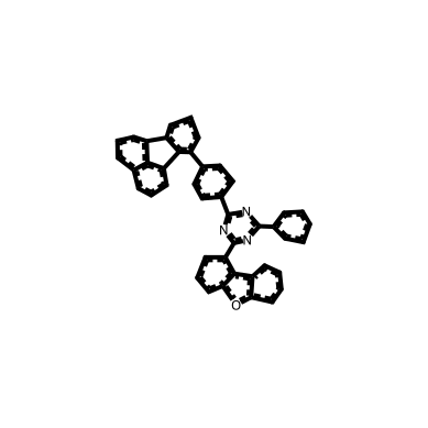 c1ccc(-c2nc(-c3ccc(-c4cccc5c4-c4cccc6cccc-5c46)cc3)nc(-c3cccc4oc5ccccc5c34)n2)cc1